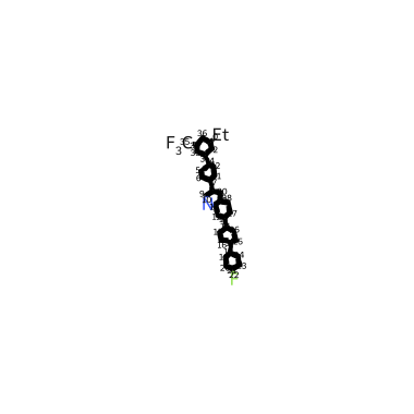 CCc1cc(-c2ccc(-c3cnc4cc(-c5ccc(-c6ccc(F)cc6)cc5)ccc4c3)cc2)cc(C(F)(F)F)c1